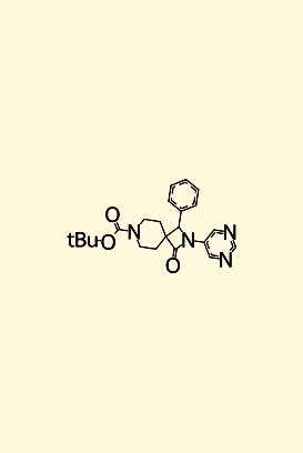 CC(C)(C)OC(=O)N1CCC2(CC1)C(=O)N(c1cncnc1)C2c1ccccc1